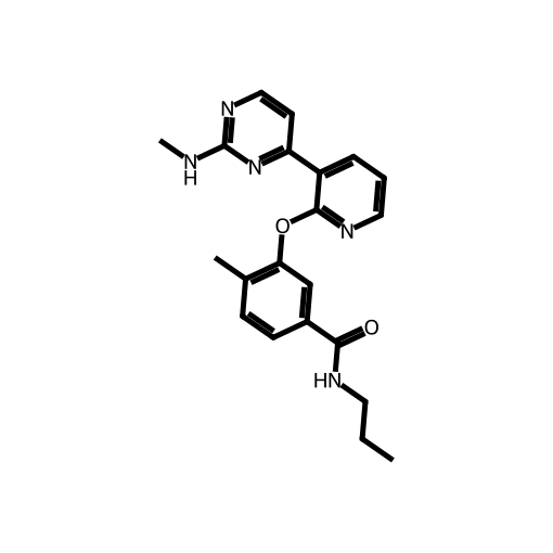 CCCNC(=O)c1ccc(C)c(Oc2ncccc2-c2ccnc(NC)n2)c1